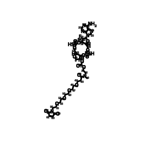 CN(CCOC(=O)O[C@H]1CO[C@@H]2CO[P@@](=O)(S)O[C@H]3[C@@H](F)[C@H](n4cnc5c(N)ncnc54)O[C@@H]3CO[P@@](=O)(S)O[C@@H]12)C(=O)CCOCCOCCOCCOCCN1C(=O)C=CC1=O